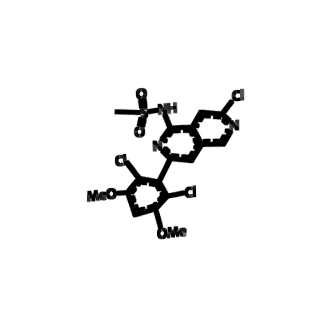 COc1cc(OC)c(Cl)c(-c2cc3cnc(Cl)cc3c(NS(C)(=O)=O)n2)c1Cl